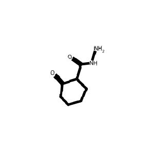 NNC(=O)C1CCCCC1=O